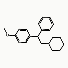 COc1ccc(C(CC2CCCCC2)c2ccccc2)cc1